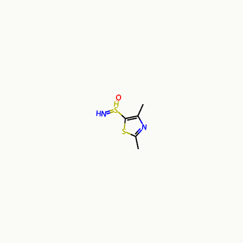 Cc1nc(C)c([SH](=N)=O)s1